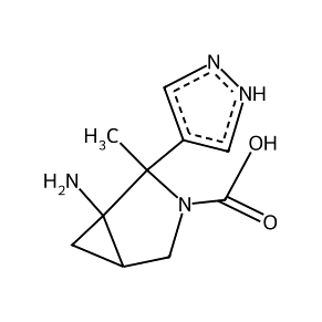 CC1(c2cn[nH]c2)N(C(=O)O)CC2CC21N